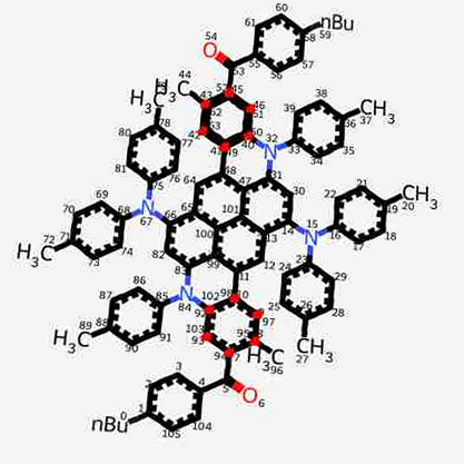 CCCCc1ccc(C(=O)c2ccc(-c3cc4c(N(c5ccc(C)cc5)c5ccc(C)cc5)cc(N(c5ccc(C)cc5)c5ccc(C)cc5)c5c(-c6ccc(C(=O)c7ccc(CCCC)cc7)cc6)cc6c(N(c7ccc(C)cc7)c7ccc(C)cc7)cc(N(c7ccc(C)cc7)c7ccc(C)cc7)c3c6c45)cc2)cc1